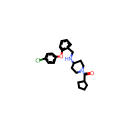 O=C(C1CCCC1)N1CCC(NCc2ccccc2Oc2ccc(Cl)cc2)CC1